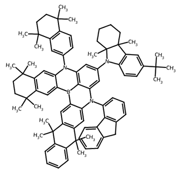 CC(C)(C)c1ccc2c(c1)C1(C)CCCCC1(C)N2c1cc2c3c(c1)N(c1cccc4c1-c1ccccc1C4)c1cc4c(cc1B3c1cc3c(cc1N2c1ccc2c(c1)C(C)(C)CCC2(C)C)C(C)(C)CCC3(C)C)C(C)(C)c1ccccc1C4(C)C